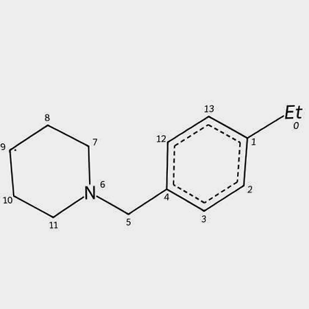 CCc1ccc(CN2CC[CH]CC2)cc1